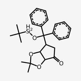 CC1(C)OC2C(=O)CC(C(O[SiH2]C(C)(C)C)(c3ccccc3)c3ccccc3)C2O1